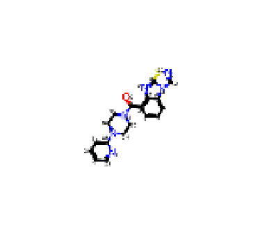 O=C(c1cccc2c1nc1sncn12)N1CCN(c2ccccn2)CC1